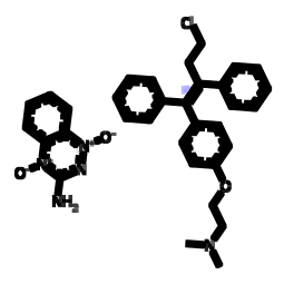 CN(C)CCOc1ccc(/C(=C(/CCCl)c2ccccc2)c2ccccc2)cc1.Nc1n[n+]([O-])c2ccccc2[n+]1[O-]